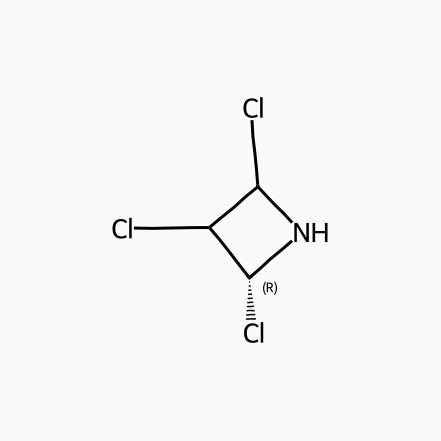 ClC1N[C@H](Cl)C1Cl